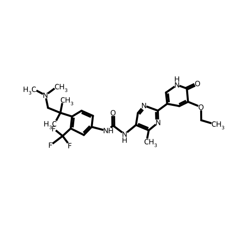 CCOc1cc(-c2ncc(NC(=O)Nc3ccc(C(C)(C)CN(C)C)c(C(F)(F)F)c3)c(C)n2)c[nH]c1=O